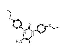 CC(C)=C(C)N.CCOc1ccc(NC(=S)Nc2ccc(OCC)cc2)cc1